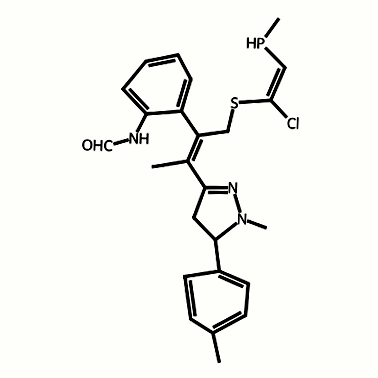 CP/C=C(/Cl)SC/C(=C(/C)C1=NN(C)C(c2ccc(C)cc2)C1)c1ccccc1NC=O